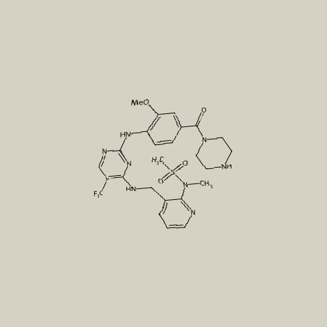 COc1cc(C(=O)N2CCNCC2)ccc1Nc1ncc(C(F)(F)F)c(NCc2cccnc2N(C)S(C)(=O)=O)n1